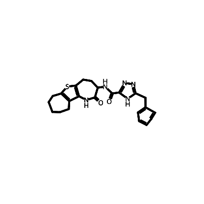 O=C(NC1CCc2sc3c(c2NC1=O)CCCCC3)c1nnc(Cc2ccccc2)[nH]1